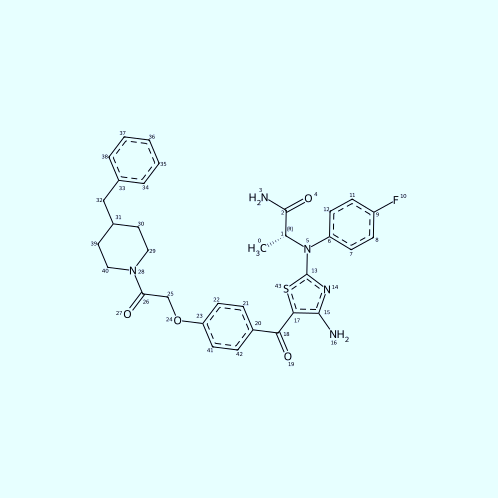 C[C@H](C(N)=O)N(c1ccc(F)cc1)c1nc(N)c(C(=O)c2ccc(OCC(=O)N3CCC(Cc4ccccc4)CC3)cc2)s1